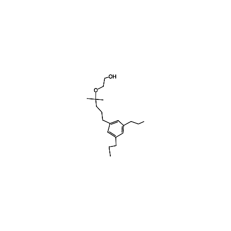 CCCc1cc(CCC)cc(CCCC(C)(C)OCCO)c1